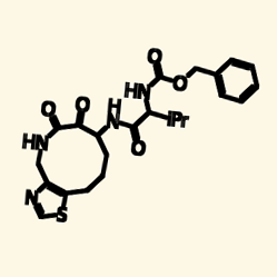 CC(C)C(NC(=O)OCc1ccccc1)C(=O)NC1CCCc2scnc2CNC(=O)C1=O